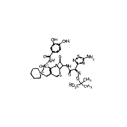 CC(C)(O/N=C(\C(=O)NC1C(=O)N2C(C=O)=C(C[N+]3(CCNC(=O)c4ccc(O)c(O)c4)CCCCC3)CSC12)c1nsc(N)n1)C(=O)O